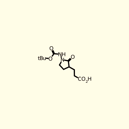 CC(C)(C)OC(=O)NN1CCC(CCC(=O)O)C1=O